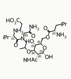 CC(=O)N[C@@H]1[C@@H](OC(C)CN(C(=O)[C@@H](N)C(C)C)[C@H](CCC(=O)O)C(N)=O)[C@H](O)[C@@H](COC(=O)[C@@H](N)CC(C)C)O[C@@H]1O